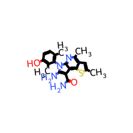 Cc1cc2c(C)nc3c(c(C(N)=O)c(N)n3-c3c(C)ccc(O)c3C)c2s1